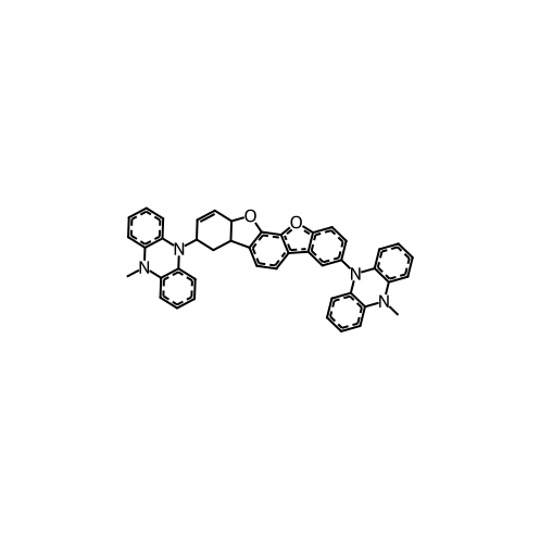 CN1c2ccccc2N(c2ccc3oc4c5c(ccc4c3c2)C2CC(N3c4ccccc4N(C)c4ccccc43)C=CC2O5)c2ccccc21